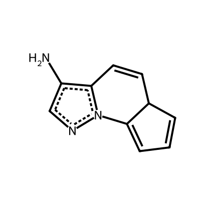 Nc1cnn2c1C=CC1C=CC=C12